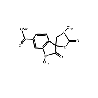 COC(=O)c1ccc2c(c1)N(C)C(=O)C21CN(C)C(=O)O1